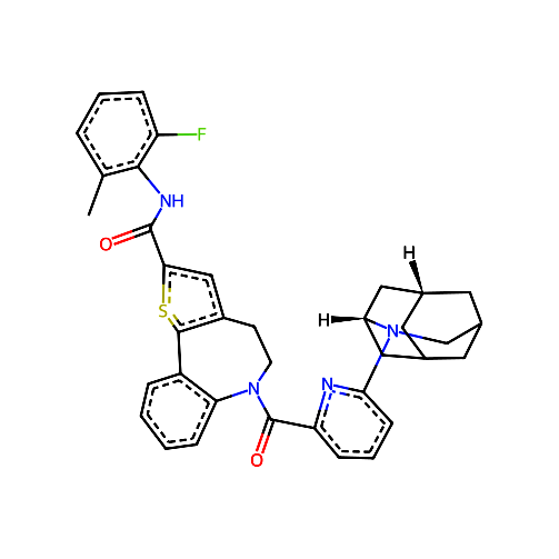 Cc1cccc(F)c1NC(=O)c1cc2c(s1)-c1ccccc1N(C(=O)c1cccc(N3CC4CC5C[C@@H](C4)C[C@H]3C5)n1)CC2